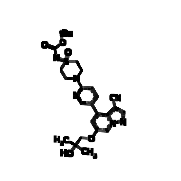 CC(C)(O)COc1cc(-c2ccc(N3CCS(=O)(=NC(=O)OC(C)(C)C)CC3)nc2)c2c(C#N)cnn2c1